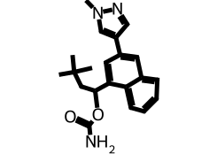 Cn1cc(-c2cc(C(CC(C)(C)C)OC(N)=O)c3ccccc3c2)cn1